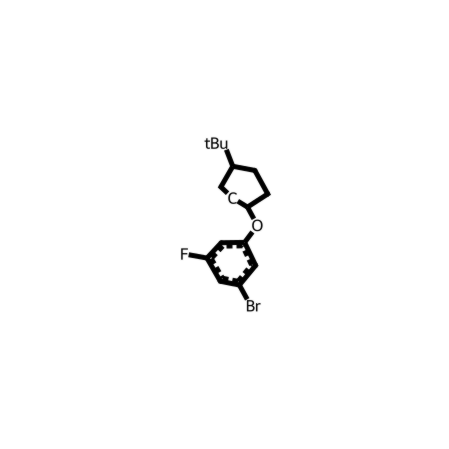 CC(C)(C)C1CCC(Oc2cc(F)cc(Br)c2)CC1